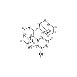 Cc1cc(O)c(C(C)C)c(C23CC4CC(CC(C4)C2)C3)c1C12CC3CC(CC(C3)C1)C2